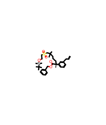 C=CCc1cccc([C@@](C)(CCCC(C)(C)CS(=O)(=O)CCO[Si](C)(C)C(C)(C)C)C(=O)OCc2ccccc2)c1